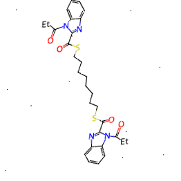 CCC(=O)n1c(C(=O)SCCCCCCCCSC(=O)c2nc3ccccc3n2C(=O)CC)nc2ccccc21